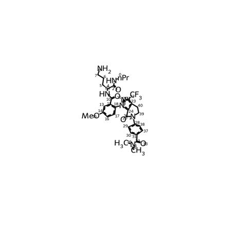 CCCNC(=O)[C@H](CCCN)NC(=O)c1cc(OC)ccc1-n1nc(C(F)(F)F)c2c1C(=O)N(c1ccc(C(=O)N(C)C)cc1)CC2